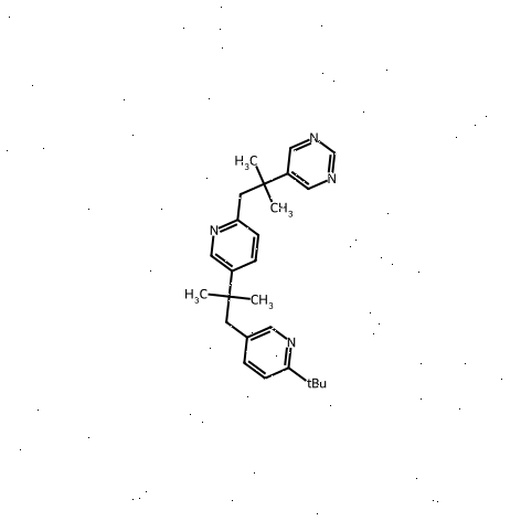 CC(C)(C)c1ccc(CC(C)(C)c2ccc(CC(C)(C)c3cncnc3)nc2)cn1